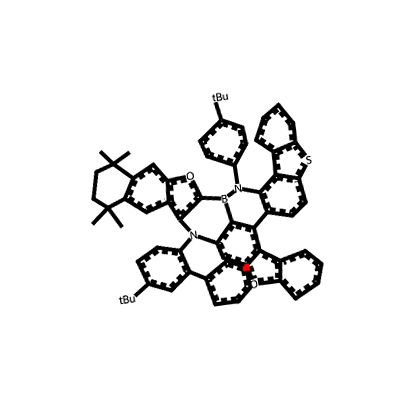 CC(C)(C)c1ccc(N2B3c4oc5cc6c(cc5c4N(c4ccc(C(C)(C)C)cc4-c4ccccc4)c4cc5oc7ccccc7c5c(c43)-c3ccc4sc5ccccc5c4c32)C(C)(C)CCC6(C)C)cc1